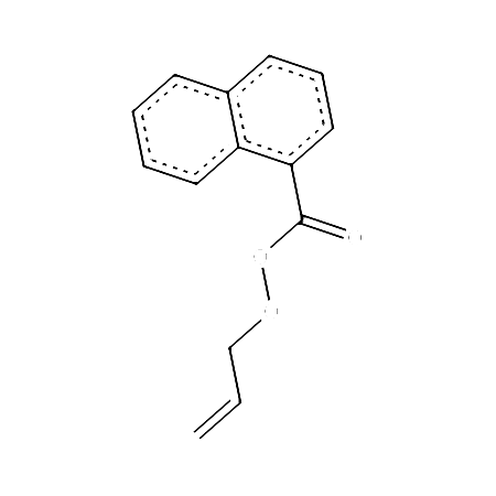 C=CCOOC(=O)c1cccc2ccccc12